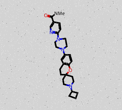 CNC(=O)c1ccc(N2CCN(c3ccc4c(c3)CCC3(CCN(C5CCC5)CC3)O4)CC2)nc1